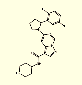 O=C(NC1CCNCC1)c1cnn2ccc(N3CCCC3c3cc(F)ccc3F)cc12